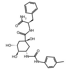 Cc1ccc(NC(=O)N[C@H]2C[C@@](O)(C(=O)N[C@H](Cc3ccccc3)C(N)=O)C[C@@H](O)[C@@H]2O)cc1